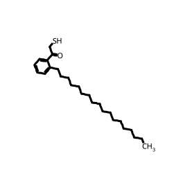 CCCCCCCCCCCCCCCCCCc1ccccc1C(=O)CS